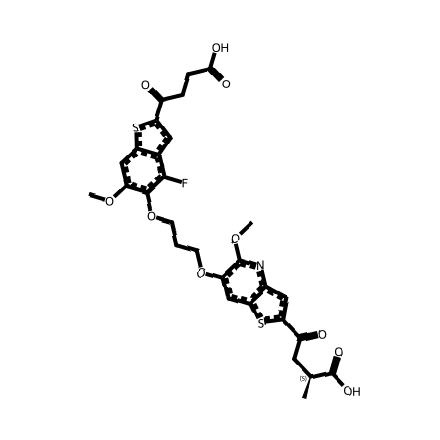 COc1cc2sc(C(=O)CCC(=O)O)cc2c(F)c1OCCCOc1cc2sc(C(=O)C[C@H](C)C(=O)O)cc2nc1OC